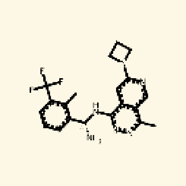 Cc1c([C@@H](N)Nc2nnc(C)c3cnc(N4CCC4)cc23)cccc1C(F)(F)F